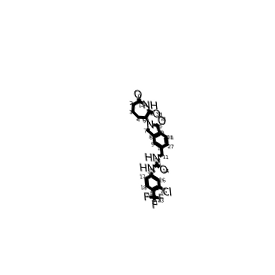 O=C1CCC[C@H](N2Cc3cc(CNC(=O)Nc4ccc(C(F)(F)F)c(Cl)c4)ccc3C2=O)C(=O)N1